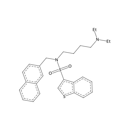 CCN(CC)CCCCN(Cc1ccc2ccccc2c1)S(=O)(=O)c1csc2ccccc12